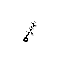 CC(C(=O)O)n1nnc(N(CS)C(=O)CCc2ccccc2)n1